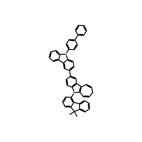 CC1(C)c2ccccc2-c2c(-n3c4c(c5cc(-c6ccc7c(c6)c6ccccc6n7-c6ccc(-c7ccccc7)cc6)ccc53)C=CCC=C4)cccc21